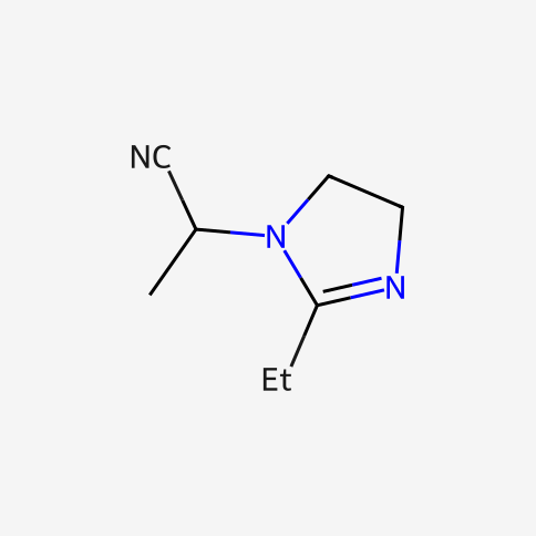 CCC1=NCCN1C(C)C#N